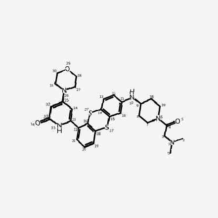 CN(C)CC(=O)N1CCC(Nc2ccc3c(c2)Sc2cccc(-c4cc(N5CCOCC5)cc(=O)[nH]4)c2S3)CC1